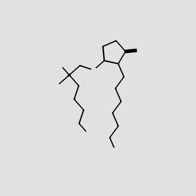 CCOC(=O)CCCCCCC1C(=O)CCC1SCC(C)(O)CCCCC(F)(F)F